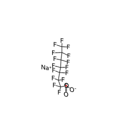 O=S(=O)([O-])C(F)(F)C(F)(F)C(F)(F)C(F)(F)C(F)(F)C(F)(F)C(F)(F)F.[Na+]